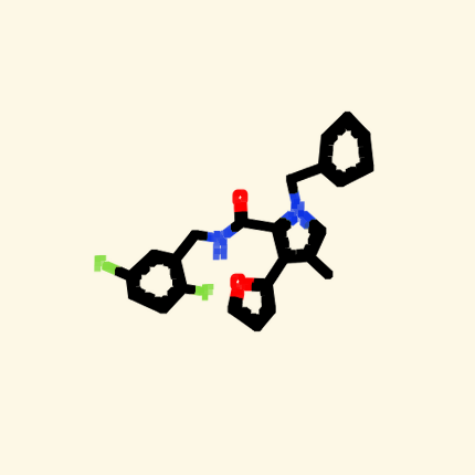 Cc1cn(Cc2ccccc2)c(C(=O)NCc2cc(F)ccc2F)c1-c1ccco1